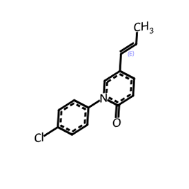 C/C=C/c1ccc(=O)n(-c2ccc(Cl)cc2)c1